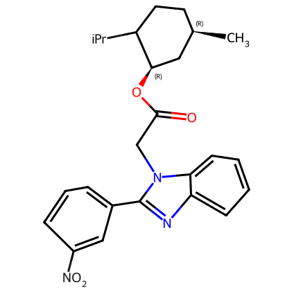 CC(C)C1CC[C@@H](C)C[C@H]1OC(=O)Cn1c(-c2cccc([N+](=O)[O-])c2)nc2ccccc21